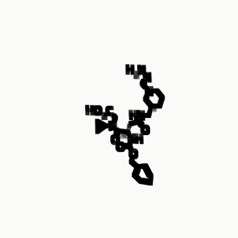 NN=CN1CCC[C@@H](CNC(=O)C[C@H](NC(=O)OCc2ccccc2)C(=O)N(CC(=O)O)C2CC2)C1